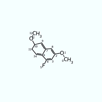 COc1cc(F)c2c(c1)=CC(OC)CC=2